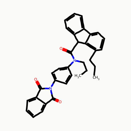 CCCc1cccc2c1C(C(=O)N(CCC)c1ccc(N3C(=O)c4ccccc4C3=O)cc1)c1ccccc1-2